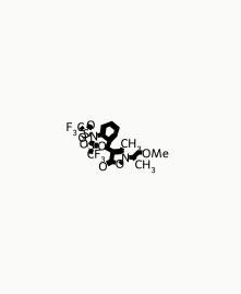 COCC(C)n1oc(=O)c(Cc2ccccc2N(S(=O)(=O)C(F)(F)F)S(=O)(=O)C(F)(F)F)c1C